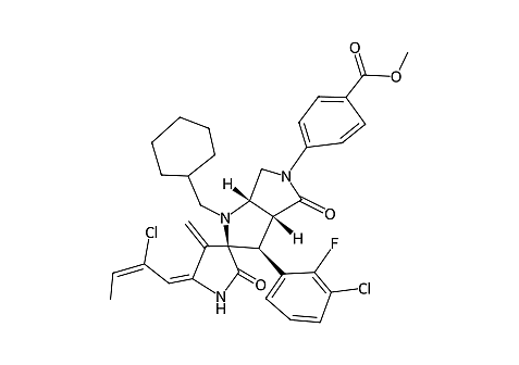 C=C1/C(=C\C(Cl)=C/C)NC(=O)[C@@]12[C@H](c1cccc(Cl)c1F)[C@H]1C(=O)N(c3ccc(C(=O)OC)cc3)C[C@H]1N2CC1CCCCC1